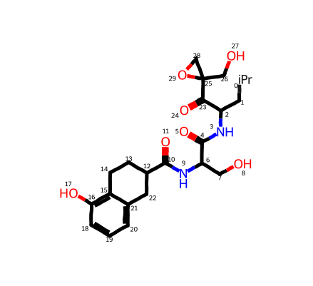 CC(C)CC(NC(=O)C(CO)NC(=O)C1CCc2c(O)cccc2C1)C(=O)C1(CO)CO1